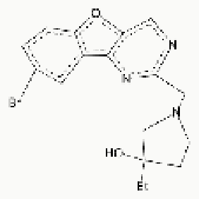 CCC1(O)CCN(Cc2ncc3oc4ccc(Br)cc4c3n2)C1